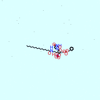 CCCCCCCCCCCCCCCC(=O)NCCCC1[C@@H](OP(=O)(O)OC)[C@@H](COC(=O)OCc2ccccc2)O[C@H]1n1ccc(=O)[nH]c1=O